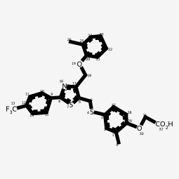 Cc1cc(SCc2sc(-c3ccc(C(F)(F)F)cc3)nc2COc2ccccc2C)ccc1OCC(=O)O